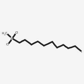 C[Si](Cl)(Cl)CCCCCCCCCCI